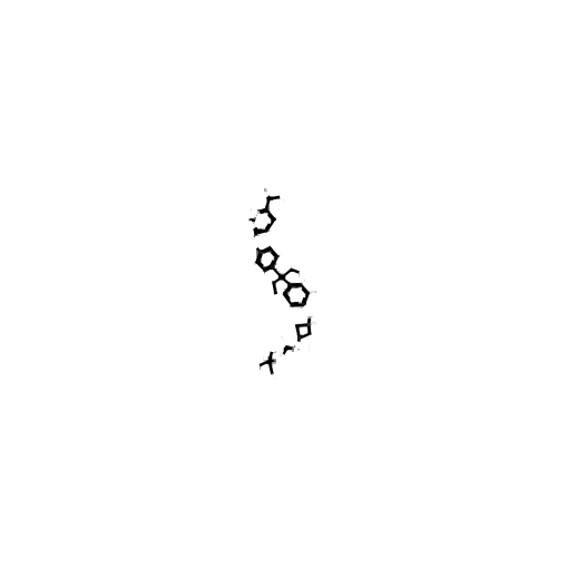 CCC(CC)(c1ccc(Oc2ccc(C(C)=O)nn2)cc1)c1ccc(OC2CC(NC(=O)OC(C)(C)C)C2)cc1